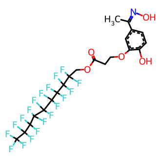 C/C(=N/O)c1ccc(O)c(OCCC(=O)OCC(F)(F)C(F)(F)C(F)(F)C(F)(F)C(F)(F)C(F)(F)C(F)(F)C(F)(F)C(F)(F)F)c1